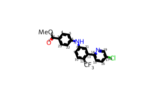 COC(=O)c1ccc(Nc2ccc(C(F)(F)F)c(-c3ccc(Cl)cn3)c2)cc1